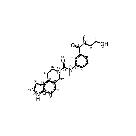 CN(CCO)C(=O)c1cccc(NC(=O)N2CCc3c(cnc4[nH]ncc34)C2)c1